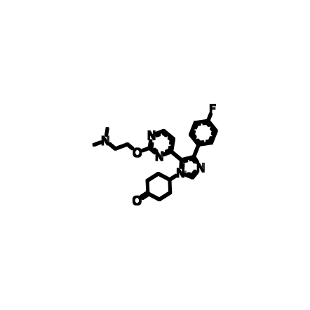 CN(C)CCOc1nccc(-c2c(-c3ccc(F)cc3)ncn2C2CCC(=O)CC2)n1